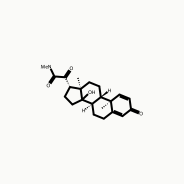 CNC(=O)C(=O)[C@H]1CCC2(O)[C@@H]3CCC4=CC(=O)C=C[C@]4(C)[C@H]3CC[C@]12C